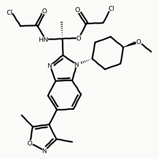 CO[C@H]1CC[C@H](n2c([C@@](C)(NC(=O)CCl)OC(=O)CCl)nc3cc(-c4c(C)noc4C)ccc32)CC1